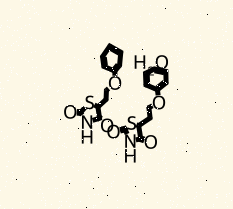 O.O=C1NC(=O)C(CCOc2ccccc2)S1.O=C1NC(=O)C(CCOc2ccccc2)S1